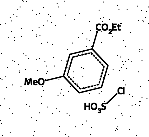 CCOC(=O)c1cccc(OC)c1.O=S(=O)(O)Cl